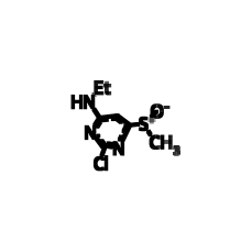 CCNc1cc([S+](C)[O-])nc(Cl)n1